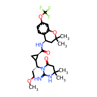 COCC[C@H](C1C[C@H]1C(=O)N[C@@H]1CC(C)(C)Oc2cc(OC(F)(F)F)ccc21)N1C(=N)NC(C)(C)CC1=O